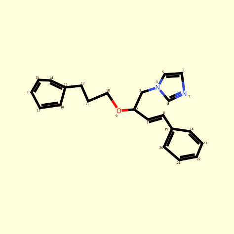 C(=CC(Cn1ccnc1)OCCCc1ccccc1)c1ccccc1